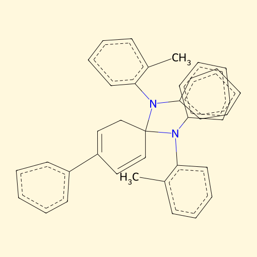 Cc1ccccc1N(c1ccccc1)C1(N(c2ccccc2)c2ccccc2C)C=CC(c2ccccc2)=CC1